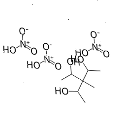 CC(O)C(C)(C(C)O)C(C)O.O=[N+]([O-])O.O=[N+]([O-])O.O=[N+]([O-])O